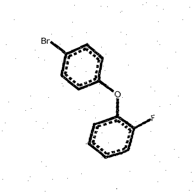 Fc1cc[c]cc1Oc1ccc(Br)cc1